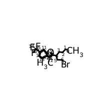 CCCCC(CCBr)c1oc2cc(C(F)(F)F)ccc2c1C